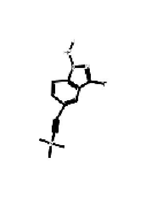 CS(C)(C)C#Cc1ccc2c(c1)c(F)nn2PI